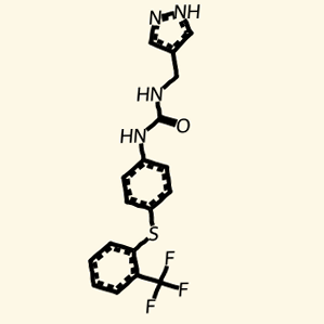 O=C(NCc1cn[nH]c1)Nc1ccc(Sc2ccccc2C(F)(F)F)cc1